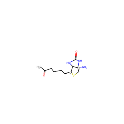 CC(=O)CCCC[C@@H]1SC[C@]2(N)NC(=O)NC12